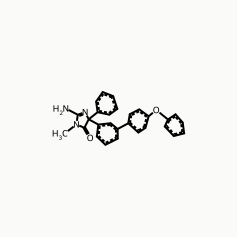 CN1C(=O)C(c2ccccc2)(c2cccc(-c3ccc(Oc4ccccc4)cc3)c2)N=C1N